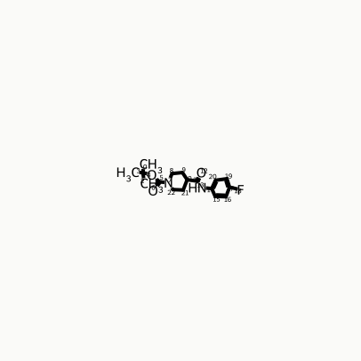 CC(C)(C)OC(=O)N1CCC(C(=O)Nc2ccc(F)cc2)CC1